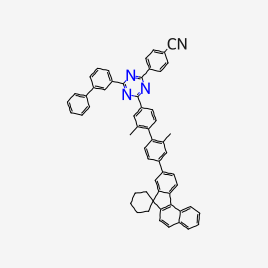 Cc1cc(-c2ccc3c(c2)C2(CCCCC2)c2ccc4ccccc4c2-3)ccc1-c1ccc(-c2nc(-c3ccc(C#N)cc3)nc(-c3cccc(-c4ccccc4)c3)n2)cc1C